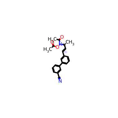 CC(=O)ON(C(C)=O)[C@@H](C)/C=C/c1cccc(-c2cccc(C#N)c2)c1